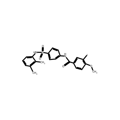 COc1ccc(C(=O)Nc2ccc(S(=O)(=O)Nc3cccc(C)c3C)cc2)cc1I